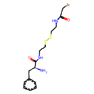 N[C@@H](Cc1ccccc1)C(=O)NCCSSCCNC(=O)CBr